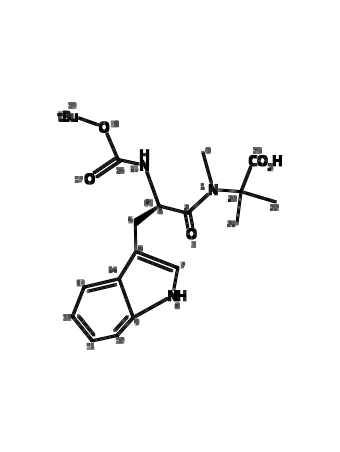 CN(C(=O)[C@@H](Cc1c[nH]c2ccccc12)NC(=O)OC(C)(C)C)C(C)(C)C(=O)O